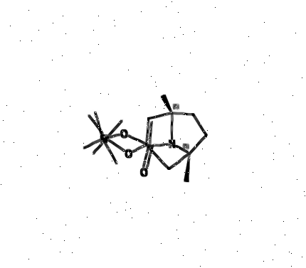 CC(C)(C)OC(=O)N1[C@]2(C)CC[C@@]1(C)C=C(O[Si](C)(C)C)C2